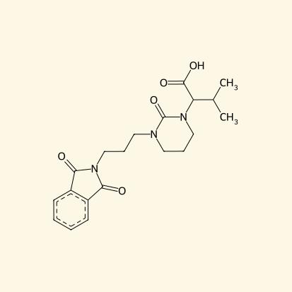 CC(C)C(C(=O)O)N1CCCN(CCCN2C(=O)c3ccccc3C2=O)C1=O